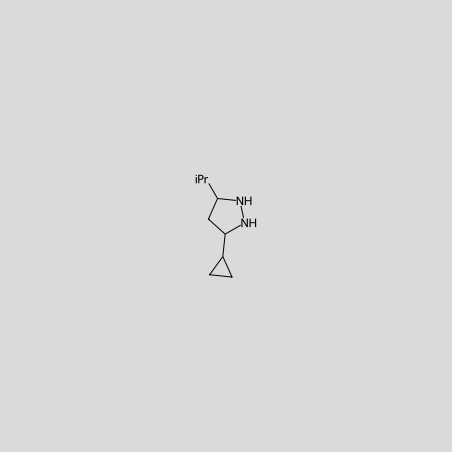 CC(C)C1CC(C2CC2)NN1